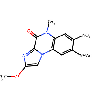 CCOC(=O)Oc1cn2c(n1)c(=O)n(C)c1cc([N+](=O)[O-])c(NC(C)=O)cc12